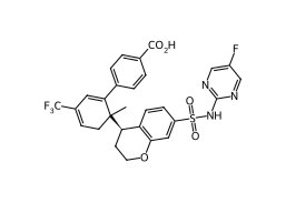 CC1([C@@H]2CCOc3cc(S(=O)(=O)Nc4ncc(F)cn4)ccc32)CC=C(C(F)(F)F)C=C1c1ccc(C(=O)O)cc1